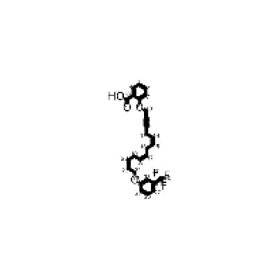 O=C(O)c1ccccc1OCC#CC/C=C\C/C=C\C/C=C\COc1cccc(C(F)(F)F)c1